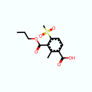 CCCOC(=O)c1c(S(C)(=O)=O)ccc(C(=O)O)c1C